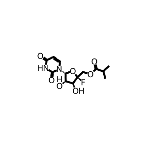 CC(C)C(=O)OC[C@@]1(F)O[C@@H](n2ccc(=O)[nH]c2=O)[C@H](O)[C@@H]1O